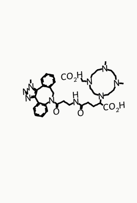 CN1CCN(C)CCN(C(CCC(=O)NCCC(=O)N2Cc3ccccc3-c3c(nnn3C)-c3ccccc32)C(=O)O)CCN(CC(=O)O)CC1